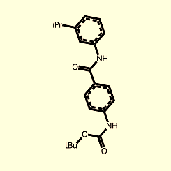 CC(C)c1cccc(NC(=O)c2ccc(NC(=O)OC(C)(C)C)cc2)c1